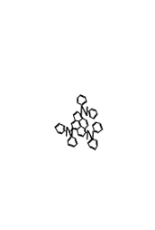 c1ccc(N(c2ccccc2)c2ccc3cc(N(c4ccccc4)c4ccccc4)c4ccc(N(c5ccccc5)c5ccccc5)c5ccc2c3c54)cc1